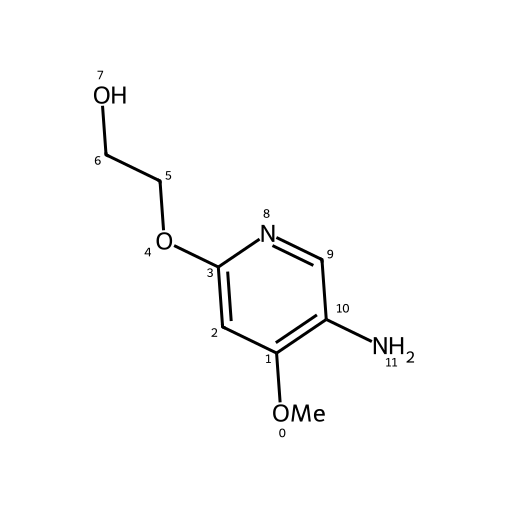 COc1cc(OCCO)ncc1N